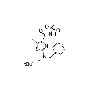 Cc1sc(N(CCC(C)(C)C)Cc2ccccc2)nc1C(=O)NS(C)(=O)=O